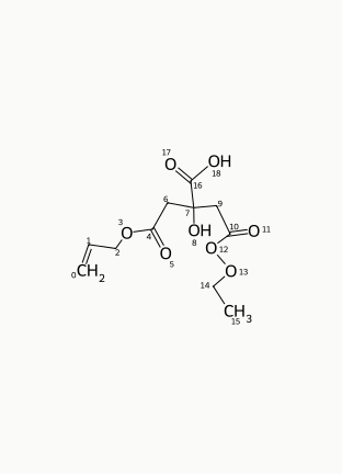 C=CCOC(=O)CC(O)(CC(=O)OOCC)C(=O)O